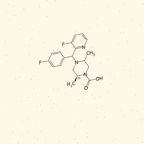 CC1CN(C(=O)O)[C@@H](C)CN1C(c1ccc(F)cc1)c1ncccc1F